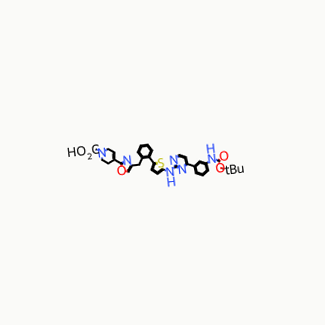 CC(C)(C)OC(=O)Nc1cccc(-c2ccnc(Nc3ccc(-c4ccccc4Cc4coc(C5=CCN(C(=O)O)CC5)n4)s3)n2)c1